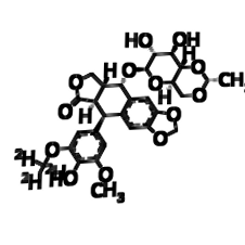 [2H]C([2H])([2H])Oc1cc([C@@H]2c3cc4c(cc3[C@@H](O[C@@H]3O[C@@H]5CO[C@@H](C)O[C@H]5[C@H](O)[C@H]3O)[C@H]3COC(=O)[C@H]23)OCO4)cc(OC)c1O